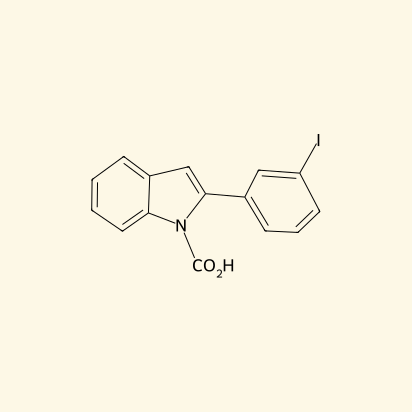 O=C(O)n1c(-c2cccc(I)c2)cc2ccccc21